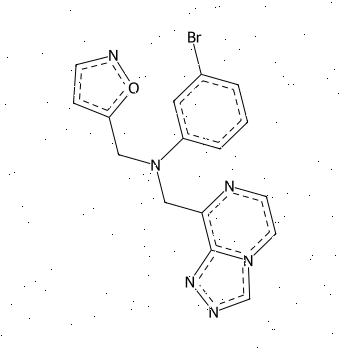 Brc1cccc(N(Cc2ccno2)Cc2nccn3cnnc23)c1